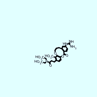 N=C(N)Nc1ccc2c(c1)CCCOc1c(ccc(CCC(=O)N(CC(=O)O)CC(=O)O)c1C(=O)O)OC2=O